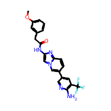 COc1cccc(CC(=O)Nc2cn3cc(-c4cnc(N)c(C(F)(F)F)c4)ccc3n2)c1